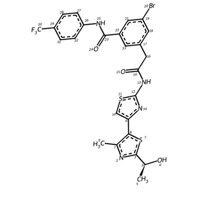 Cc1nc([C@H](C)O)sc1-c1csc(NC(=O)Cc2cc(Br)cc(C(=O)Nc3ccc(C(F)(F)F)cc3)c2)n1